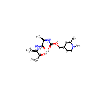 [2H]N1CCC(COC(=O)NC(=C)C(=O)NC(=C)C(=O)OC)CC1C(C)(C)C